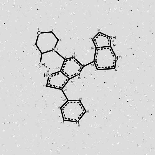 CC1COCCN1c1nc(-c2ccnc3[nH]ccc23)nc2c(-c3ccncc3)c[nH]c12